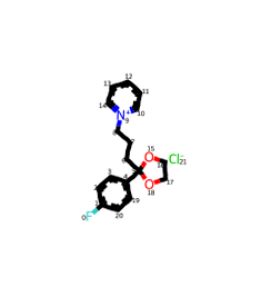 Fc1ccc(C2(CCC[n+]3ccccc3)OCCO2)cc1.[Cl-]